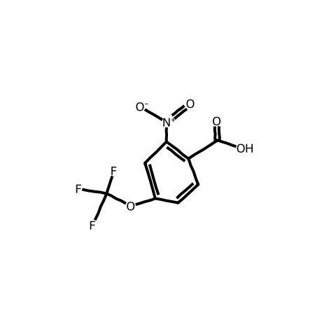 O=C(O)c1ccc(OC(F)(F)F)cc1[N+](=O)[O-]